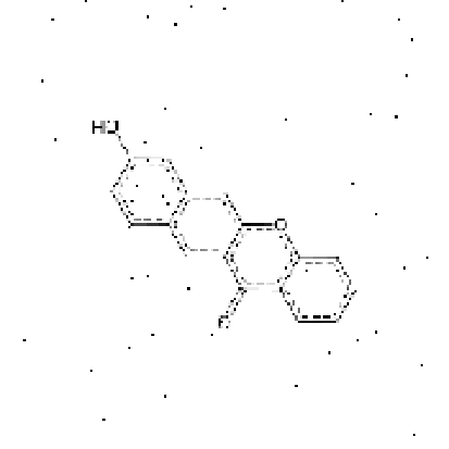 O=c1c2ccccc2oc2cc3cc(O)ccc3cc12